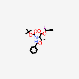 C#CC(I)OC(=O)[C@@H](NC(=O)OC(C)(C)C)[C@@H](C)OCc1ccccc1